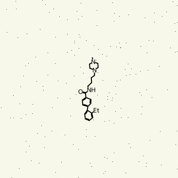 CCc1ccccc1-c1ccc(C(=O)NCCCCN2CCN(C)CC2)cc1